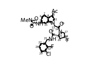 CNS(=O)(=O)Nc1ccc2c(C(C)=O)cn(CC(=O)N3C[C@H](F)C[C@H]3C(=O)NCc3cccc(Cl)c3F)c2c1